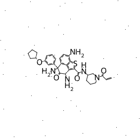 C=CC(=O)N1CCCC(NC(=O)c2sc3c(N)ccc4c3c2C(N)C(=O)C4(N)c2cccc(OC3CCCC3)c2)C1